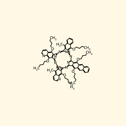 CCCCOc1c2c(c(OCCCC)c3cc4ccccc4cc13)-c1nc-2nc2[nH]c(nc3nc(nc4[nH]c(n1)c1c(OCCCC)c5ncccc5c(C)c41)-c1c-3c(OCCCC)c3cccnc3c1OCCCC)c1c(C)c3ccccc3c(OCCCC)c21